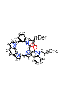 CCCCCCCCCCCCN(C(=O)c1ccc2nc1c(=O)n(CCCCCCCCCCCC)c1ccccc1c1ccc3ccc4ccc2nc4c3n1)c1ccccc1